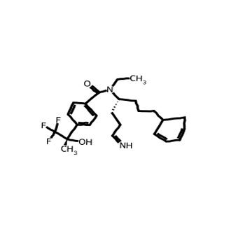 CCN(C(=O)c1ccc([C@](C)(O)C(F)(F)F)cc1)[C@@H](CCC=N)CCCC1C=CC=CC1